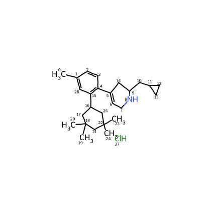 Cc1ccc(C2=CCNC(CC3CC3)C2)c(C2CC(C)(C)CC(C)(C)C2)c1.Cl